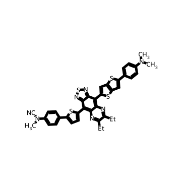 CCc1nc2c(-c3ccc(-c4ccc(N(C)C#N)cc4)s3)c3nsnc3c(-c3cc4sc(-c5ccc(N(C)C)cc5)cc4s3)c2nc1CC